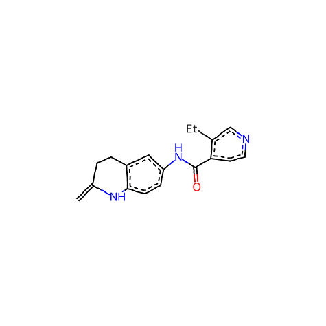 C=C1CCc2cc(NC(=O)c3ccncc3CC)ccc2N1